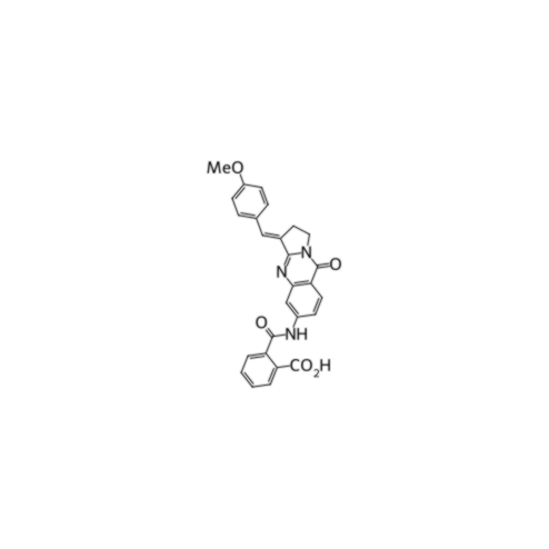 COc1ccc(/C=C2\CCn3c2nc2cc(NC(=O)c4ccccc4C(=O)O)ccc2c3=O)cc1